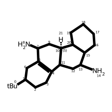 CC(C)(C)C1CCC2=C(C1)C(N)C[C@@H]1C2CC(N)C2CCCCC21